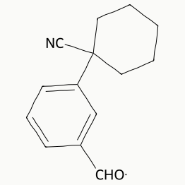 N#CC1(c2cccc([C]=O)c2)CCCCC1